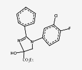 CCOC(=O)C1(O)CN(c2ccc(F)c(Cl)c2)C(c2ccccc2)=N1